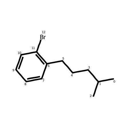 CC(C)CCCc1[c]cccc1Br